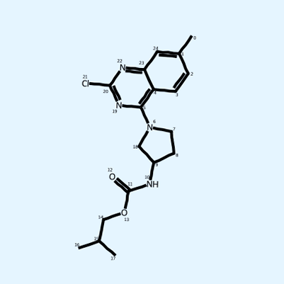 Cc1ccc2c(N3CCC(NC(=O)OCC(C)C)C3)nc(Cl)nc2c1